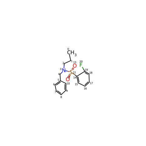 CCCN(Cc1ccccc1)S(=O)(=O)c1ccccc1F